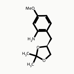 COc1ccc(C[C@H]2COC(C)(C)O2)c(N)c1